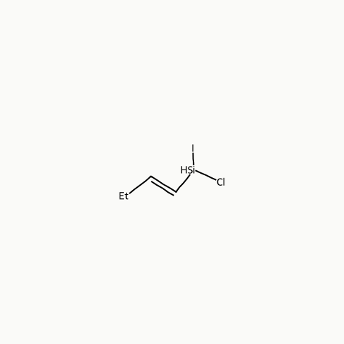 CCC=C[SiH](Cl)I